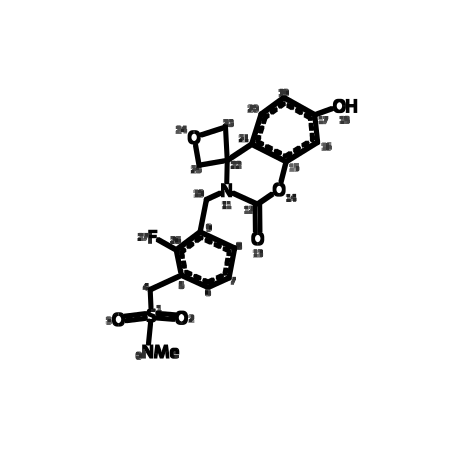 CNS(=O)(=O)Cc1cccc(CN2C(=O)Oc3cc(O)ccc3C23COC3)c1F